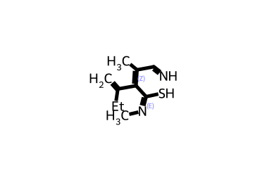 C=C(CC)C(=C(\C)C=N)/C(S)=N\C